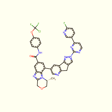 C[C@@H]1COCc2nc3cc(C(=O)Nc4ccc(OC(F)(F)Cl)cc4)cc(-c4cnc5c(c4)-c4nn(-c6nccc(-c7ccc(F)nc7)n6)cc4C5)c3n21